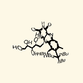 CCCCc1c(C(CCCC)(CCCC)CCCC)c(C)cc2nc3c(=O)[nH]c(=O)nc-3n(C[C@@H](O)[C@@H](O)[C@@H](O)CO)c12